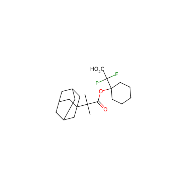 CC(C)(C(=O)OC1(C(F)(F)C(=O)O)CCCCC1)C12CC3CC(CC(C3)C1)C2